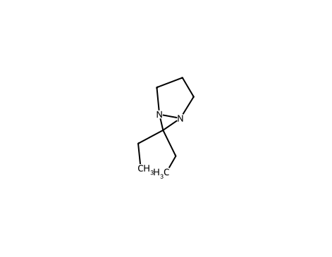 CCC1(CC)N2CCCN21